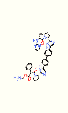 CC(C)[C@@H](Nc1ncccn1)C(=O)N1CCC[C@H]1c1ncc(-c2ccc(-c3ccc(-c4cnc([C@@H]5CCCN5C(=O)[C@H](C(=O)OCN)c5ccccc5)[nH]4)cc3)cc2)[nH]1